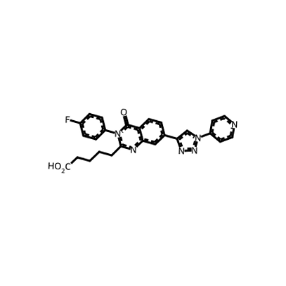 O=C(O)CCCCc1nc2cc(-c3cn(-c4ccncc4)nn3)ccc2c(=O)n1-c1ccc(F)cc1